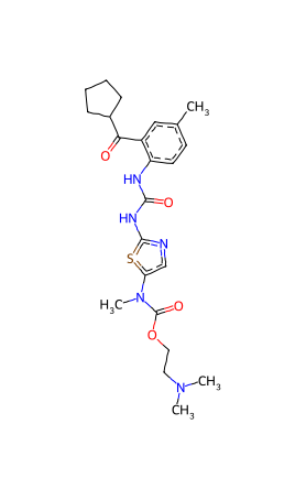 Cc1ccc(NC(=O)Nc2ncc(N(C)C(=O)OCCN(C)C)s2)c(C(=O)C2CCCC2)c1